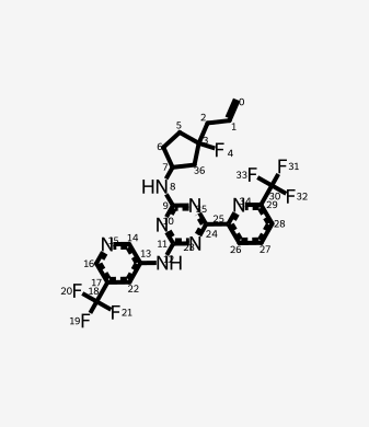 C=CCC1(F)CCC(Nc2nc(Nc3cncc(C(F)(F)F)c3)nc(-c3cccc(C(F)(F)F)n3)n2)C1